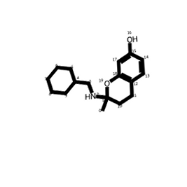 CC1(NCC2CCCCC2)CCc2ccc(O)cc2O1